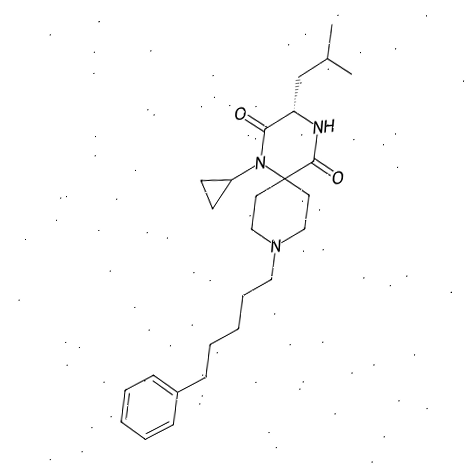 CC(C)C[C@@H]1NC(=O)C2(CCN(CCCCCc3ccccc3)CC2)N(C2CC2)C1=O